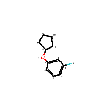 Fc1cc[c]c(OC2CCCC2)c1